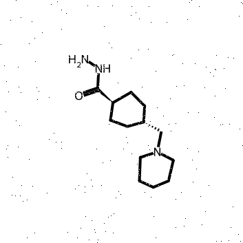 NNC(=O)[C@H]1CC[C@H](CN2CCCCC2)CC1